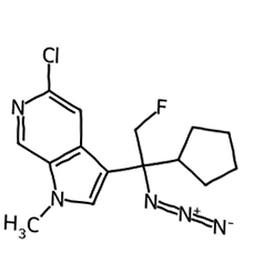 Cn1cc(C(CF)(N=[N+]=[N-])C2CCCC2)c2cc(Cl)ncc21